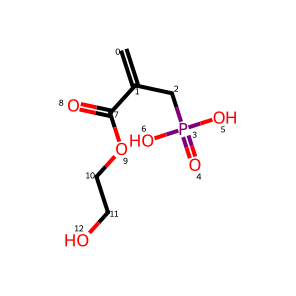 C=C(CP(=O)(O)O)C(=O)OCCO